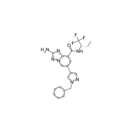 CC[C@H](NC(=O)c1cc(-c2cnn(Cc3ccccc3)c2)cn2nc(N)nc12)C(F)(F)F